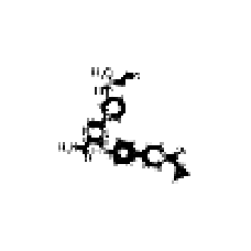 CN(CC=O)N[C@@H]1CCCN(c2cnc(C(N)=O)c(Nc3ccc(C4CCN(C(=O)C5CC5)CC4)cc3)n2)C1